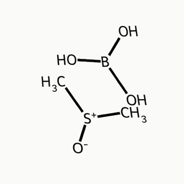 C[S+](C)[O-].OB(O)O